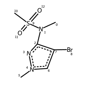 CN(c1nn(C)cc1Br)S(C)(=O)=O